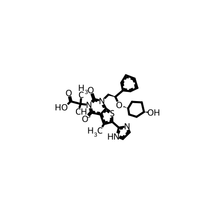 Cc1c(-c2ncc[nH]2)sc2c1c(=O)n(C(C)(C)C(=O)O)c(=O)n2C[C@H](O[C@H]1CC[C@@H](O)CC1)c1ccccc1